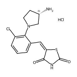 Cl.N[C@H]1CCN(c2c(Cl)cccc2C=C2SC(=O)NC2=O)C1